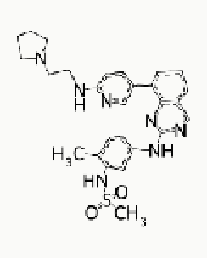 Cc1ccc(Nc2ncc3cccc(-c4ccc(NCCN5CCCC5)nc4)c3n2)cc1NS(C)(=O)=O